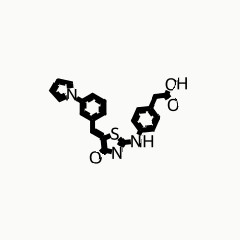 O=C(O)Cc1ccc(NC2=NC(=O)C(=Cc3cccc(-n4cccc4)c3)S2)cc1